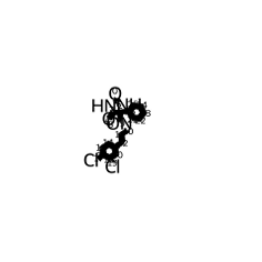 O=C1NC(=O)[C@]2(N1)C(=O)N(C/C=C/c1ccc(Cl)c(Cl)c1)c1ccccc12